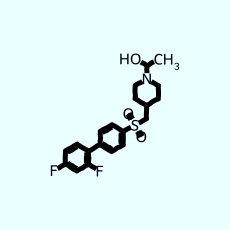 CC(O)N1CCC(CS(=O)(=O)c2ccc(-c3ccc(F)cc3F)cc2)CC1